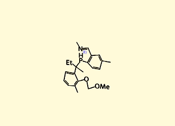 CCC(C)(Pc1ccc(C)cc1/C=N/C)c1cccc(C)c1OCOC